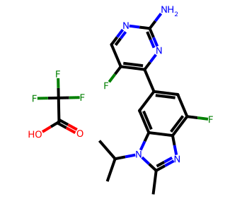 Cc1nc2c(F)cc(-c3nc(N)ncc3F)cc2n1C(C)C.O=C(O)C(F)(F)F